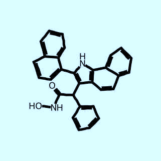 O=C(NO)C(c1ccccc1)c1c(-c2cccc3ccccc23)[nH]c2c1ccc1ccccc12